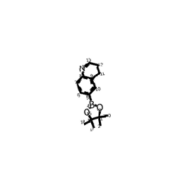 CC1(C)OB(c2ccc3c(c2)CCC=N3)OC1(C)C